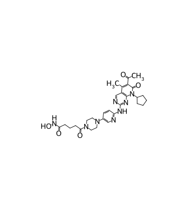 CC(=O)c1c(C)c2cnc(Nc3ccc(N4CCN(C(=O)CCCC(=O)NO)CC4)cn3)nc2n(C2CCCC2)c1=O